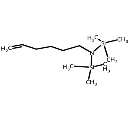 C=CCCCCN([Si](C)(C)C)[Si](C)(C)C